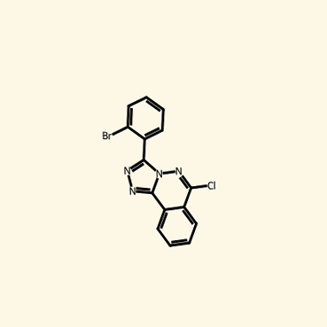 Clc1nn2c(-c3ccccc3Br)nnc2c2ccccc12